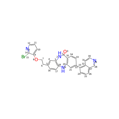 O=C1Nc2cc(CCOc3cccnc3Br)ccc2Nc2cc(-c3cccc4cnccc34)ccc21